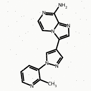 Cc1ncccc1-n1cc(-c2cnc3c(N)nccn23)cn1